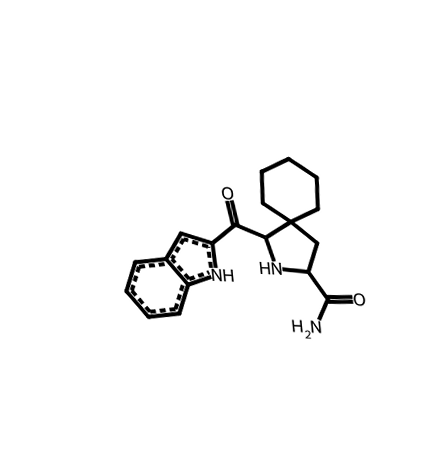 NC(=O)C1CC2(CCCCC2)C(C(=O)c2cc3ccccc3[nH]2)N1